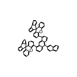 c1ccc2c(c1)Oc1c(-c3cccc4c(-c5ccc6ccccc6c5)c5cccc(-c6cccc7c6Oc6ccccc6C76c7ccccc7-c7ccccc76)c5cc34)cccc1C21c2ccccc2-c2ccccc21